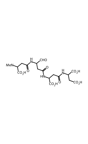 CNC(CC(=O)NC(C=O)CC(=O)NC(CC(=O)NC(CC(=O)O)C(=O)O)C(=O)O)C(=O)O